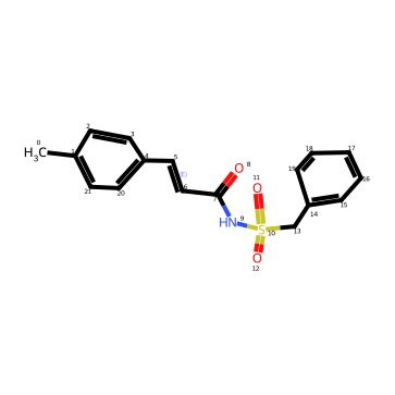 Cc1ccc(/C=C/C(=O)NS(=O)(=O)Cc2ccccc2)cc1